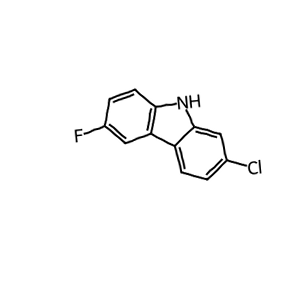 Fc1ccc2[nH]c3cc(Cl)ccc3c2c1